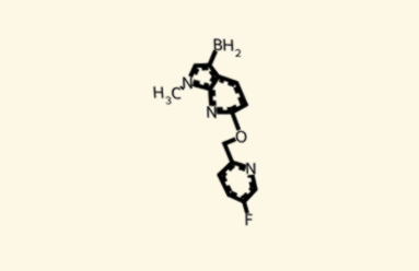 Bc1cn(C)c2nc(OCc3ccc(F)cn3)ccc12